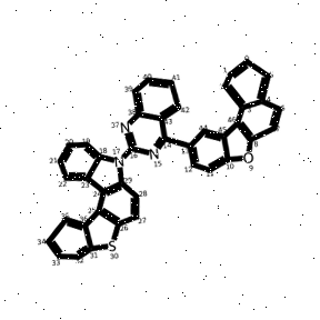 c1ccc2c(c1)ccc1oc3ccc(-c4nc(-n5c6ccccc6c6c7c(ccc65)sc5ccccc57)nc5ccccc45)cc3c12